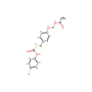 CC(C)(C)C(=O)OCOc1ccc(CSC(=O)Oc2ccc(F)cc2)cc1